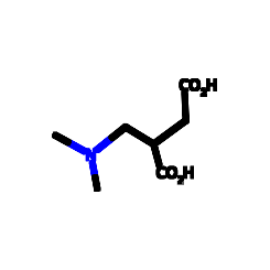 CN(C)CC(CC(=O)O)C(=O)O